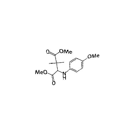 COC(=O)C(Nc1ccc(OC)cc1)C(C)(C)C(=O)OC